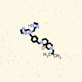 CC(C)CN1CCC2(CCCN(Cc3ccc(CN(Cc4ncc[nH]4)Cc4ncc[nH]4)cc3)C2=O)CC1